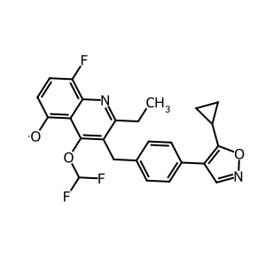 CCc1nc2c(F)ccc([O])c2c(OC(F)F)c1Cc1ccc(-c2cnoc2C2CC2)cc1